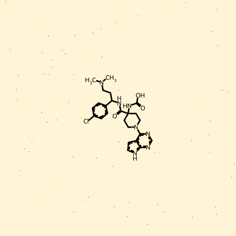 CN(C)CCC(NC(=O)C1(NC(=O)O)CCN(c2ncnc3[nH]ccc23)CC1)c1ccc(Cl)cc1